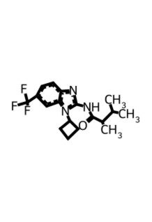 CC(C)C(C)C(=O)Nc1nc2ccc(C(F)(F)F)cc2n1C1CCC1